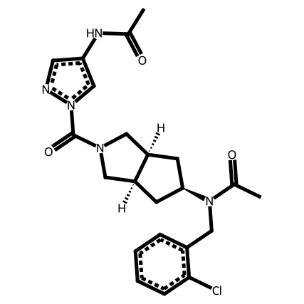 CC(=O)Nc1cnn(C(=O)N2C[C@H]3C[C@@H](N(Cc4ccccc4Cl)C(C)=O)C[C@H]3C2)c1